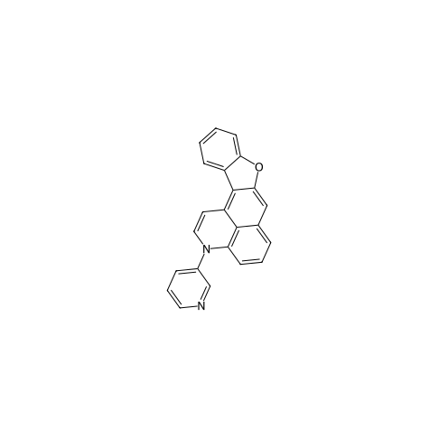 C1=CN(c2cccnc2)c2cccc3cc4oc5ccccc5c4c1c23